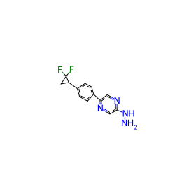 NNc1cnc(-c2ccc(C3CC3(F)F)cc2)cn1